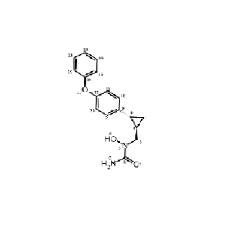 NC(=O)N(O)C[C@@H]1C[C@H]1c1ccc(Oc2ccccc2)cc1